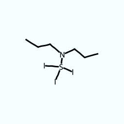 CCCN(CCC)S(I)(I)I